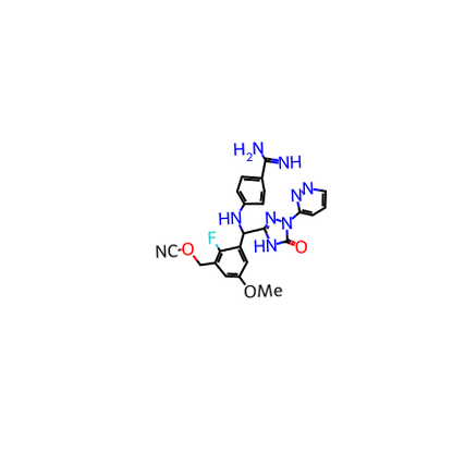 COc1cc(COC#N)c(F)c(C(Nc2ccc(C(=N)N)cc2)c2nn(-c3cccnn3)c(=O)[nH]2)c1